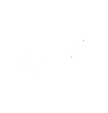 C[C@H](OC(N)=O)c1ccc(B2OC(C)(C)C(C)(C)O2)cc1